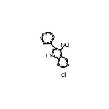 Cc1c(-c2cccnc2)[nH]c2cc(Cl)ccc12.Cl